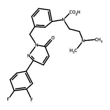 CN(C)CCN(C(=O)O)c1cccc(Cn2nc(-c3ccc(F)c(F)c3)ccc2=O)c1